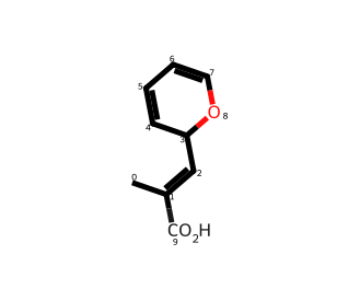 CC(=CC1C=CC=CO1)C(=O)O